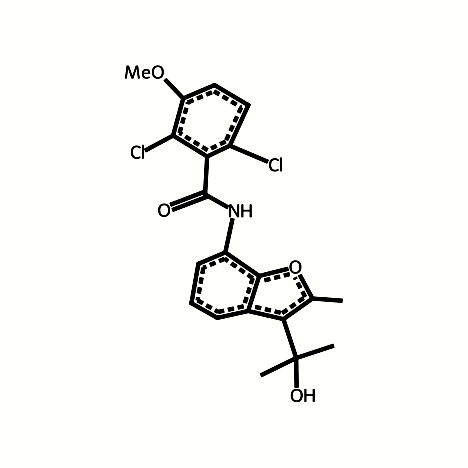 COc1ccc(Cl)c(C(=O)Nc2cccc3c(C(C)(C)O)c(C)oc23)c1Cl